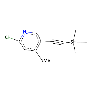 CNc1cc(Cl)ncc1C#C[Si](C)(C)C